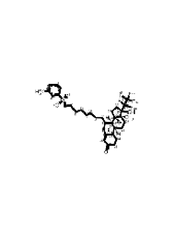 Cc1cccc(S(=O)(=O)CCCCCCCCC2CC3=CC(=O)CC[C@]3(C)[C@@H]3CC[C@@]4(C)[C@@H](CCC4(O)C(F)(F)C(F)(F)F)[C@H]23)c1